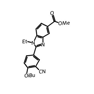 CCn1c(-c2ccc(OCC(C)C)c(C#N)c2)nc2cc(C(=O)OC)ccc21